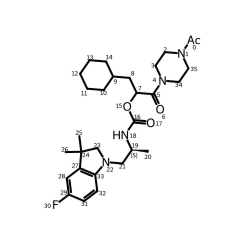 CC(=O)N1CCN(C(=O)C(CC2CCCCC2)OC(=O)N[C@@H](C)CN2CC(C)(C)c3cc(F)ccc32)CC1